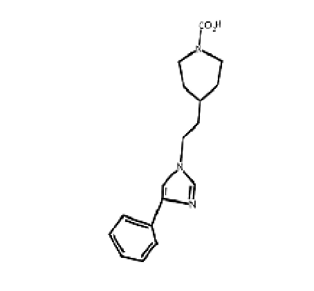 O=C(O)N1CCC(CCn2cnc(-c3ccccc3)c2)CC1